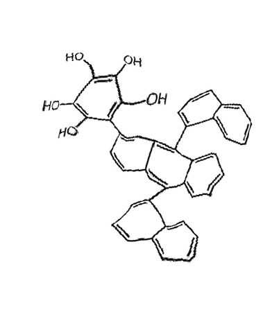 Oc1c(O)c(O)c(-c2ccc3c(-c4cccc5ccccc45)c4ccccc4c(-c4cccc5ccccc45)c3c2)c(O)c1O